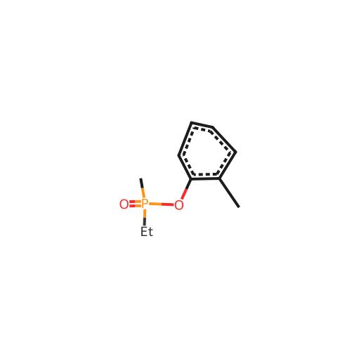 CCP(C)(=O)Oc1ccccc1C